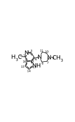 Cc1ncc(N2CCN(C)CC2)c2[nH]ccc12